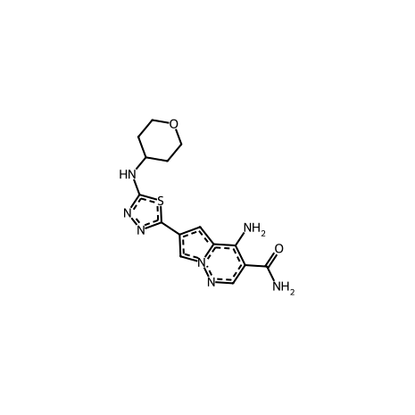 NC(=O)c1cnn2cc(-c3nnc(NC4CCOCC4)s3)cc2c1N